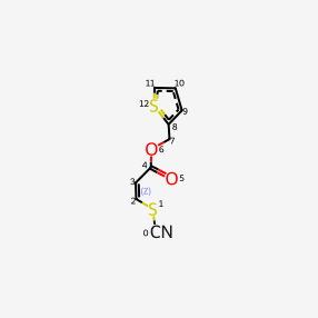 N#CS/C=C\C(=O)OCc1cccs1